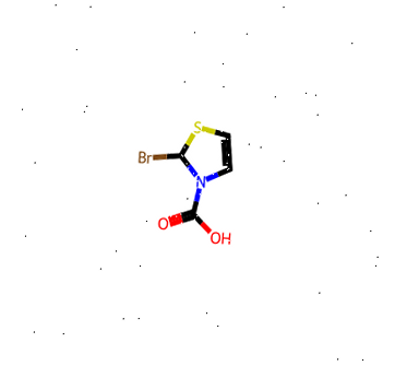 O=C(O)N1C=CSC1Br